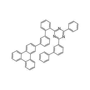 c1ccc(-c2cccc(-c3nc(-c4ccccc4)nc(-c4ccccc4-c4cccc(-c5ccc6c7ccccc7c7ccccc7c6c5)c4)n3)c2)cc1